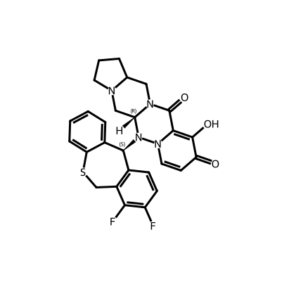 O=C1c2c(O)c(=O)ccn2N([C@@H]2c3ccccc3SCc3c2ccc(F)c3F)[C@@H]2CN3CCCC3CN12